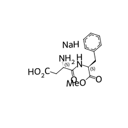 COC(=O)[C@H](Cc1ccccc1)NC(=O)[C@@H](N)CC(=O)O.[NaH]